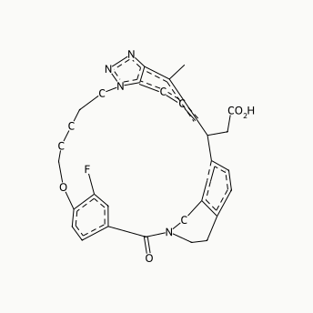 Cc1c2ccc3c1nnn3CCCCCOc1ccc(cc1F)C(=O)N1CCc3ccc(cc3C1)C2CC(=O)O